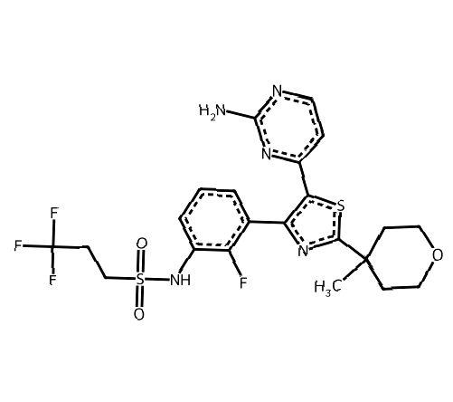 CC1(c2nc(-c3cccc(NS(=O)(=O)CCC(F)(F)F)c3F)c(-c3ccnc(N)n3)s2)CCOCC1